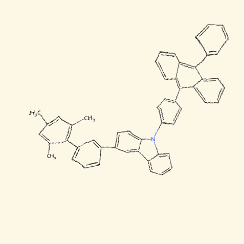 Cc1cc(C)c(-c2cccc(-c3ccc4c(c3)c3ccccc3n4-c3ccc(-c4c5ccccc5c(-c5ccccc5)c5ccccc45)cc3)c2)c(C)c1